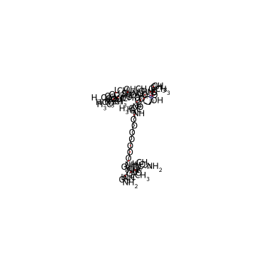 CCN(CC(=O)NCCOCCOCCOCCOCCOCCOCCOCCNC(=O)[C@H](CCCNC(N)=O)NC(=O)[C@@H](NC(=O)[C@H](CCCCN)NC(C)=O)C(C)C)[C@H]1CO[C@@H](O[C@H]2[C@H](O[C@H]3C#CC=CC#C[C@]4(O)CC(=O)C(NC(=O)OC)=C3/C4=C\CSSC(C)C)O[C@H](C)[C@@H](NO[C@H]3C[C@H](O)[C@H](SC(=O)c4c(C)c(I)c(O[C@@H]5O[C@@H](C)[C@H](O)[C@@H](OC)[C@H]5O)c(OC)c4OC)[C@@H](C)O3)[C@@H]2O)C[C@@H]1OC